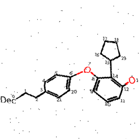 CCCCCCCCCCCCc1ccc(Oc2cccc([O])c2C2CCCC2)cc1